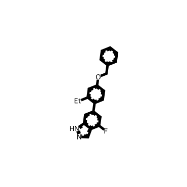 CCc1cc(OCc2ccccc2)ccc1-c1cc(F)c2cn[nH]c2c1